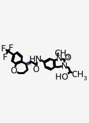 CC(O)CN1Cc2ccc(NC(=O)/C=C3\CCCOc4cc(C(F)(F)F)ccc43)cc2N(C)C1=O